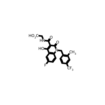 Cc1cc(C(F)(F)F)ccc1Cn1c(=O)c(C(=O)NCC(=O)O)c(O)c2cc(F)ccc21